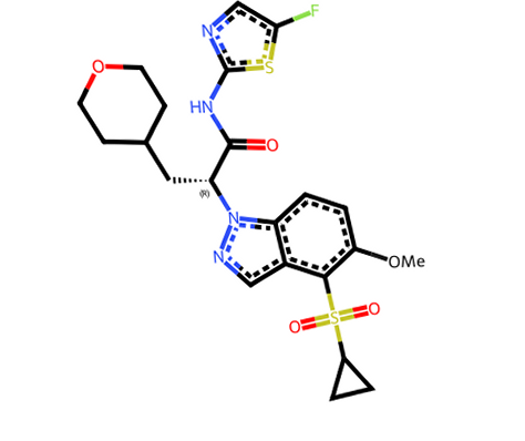 COc1ccc2c(cnn2[C@H](CC2CCOCC2)C(=O)Nc2ncc(F)s2)c1S(=O)(=O)C1CC1